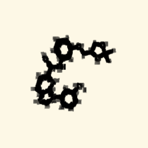 CC1(C)OCC(COc2cccc(NC(=O)c3ccc4ncn(-c5cccc(C(F)(F)F)c5)c4n3)c2)O1